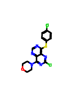 Clc1ccc(Sc2ncnc3c(N4CCOCC4)nc(Cl)nc23)cc1